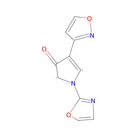 O=C1[CH]N(c2ncco2)[C]=C1c1ccon1